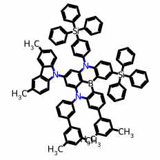 Cc1cc(C)cc(-c2cccc(N3c4cc(-c5cc(C)cc(C)c5)ccc4B4c5cc([Si](c6ccccc6)(c6ccccc6)c6ccccc6)ccc5N(c5ccc([Si](c6ccccc6)(c6ccccc6)c6ccccc6)cc5)c5cc(-n6c7ccc(C)cc7c7cc(C)ccc76)cc3c54)c2)c1